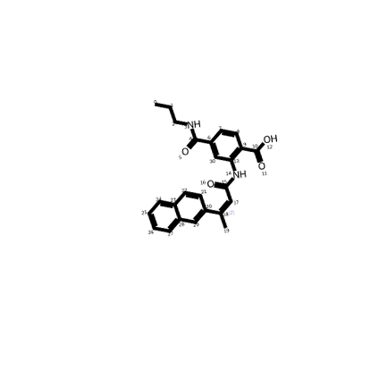 CCCNC(=O)c1ccc(C(=O)O)c(NC(=O)/C=C(/C)c2ccc3ccccc3c2)c1